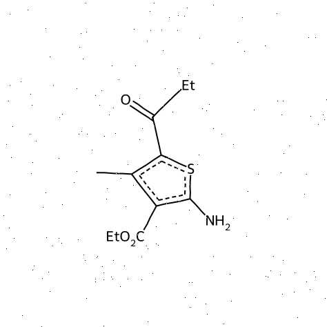 CCOC(=O)c1c(N)sc(C(=O)CC)c1C